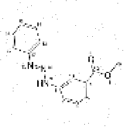 COC(=O)c1cccc(N/N=N/c2ccccc2)c1